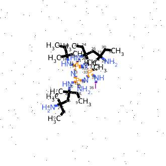 CCC(C)(N)CC(C)(CC)NP1(N)=NP(NC(C)(C)CC)(NC(C)(CC)CC(C)(N)CC)=NP(C)(NI)=N1